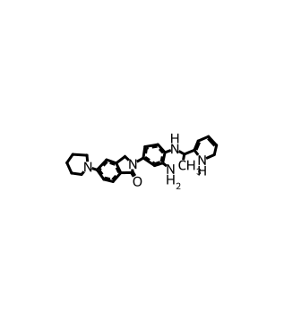 CC(Nc1ccc(N2Cc3cc(N4CCCCC4)ccc3C2=O)cc1N)C1=CC=CCN1